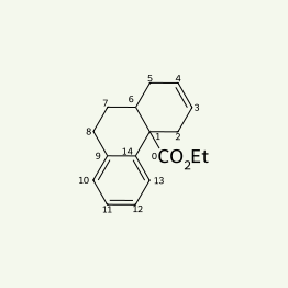 CCOC(=O)C12CC=CCC1CCc1ccccc12